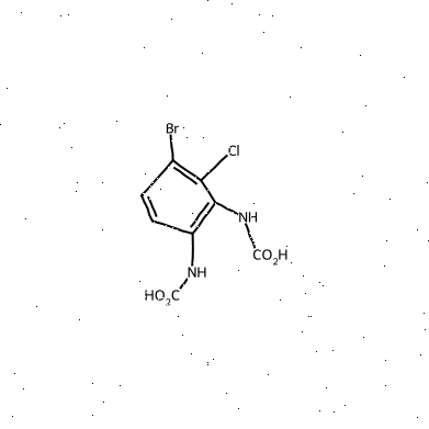 O=C(O)Nc1ccc(Br)c(Cl)c1NC(=O)O